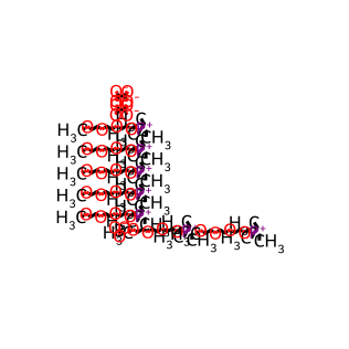 CC[P+](CC)(CC)COCCOCCOCCOC.CC[P+](CC)(CC)COCCOCCOCCOC.CC[P+](CC)(CC)COCCOCCOCCOC.CC[P+](CC)(CC)COCCOCCOCCOC.CC[P+](CC)(CC)COCCOCCOCCOC.CC[P+](CC)(CC)COCCOCCOCCOC.CC[P+](CC)(CC)COCCOCCOCCOC.O=C([O-])C(=O)[O-].O=C([O-])C(=O)[O-].[O-]B([O-])[O-]